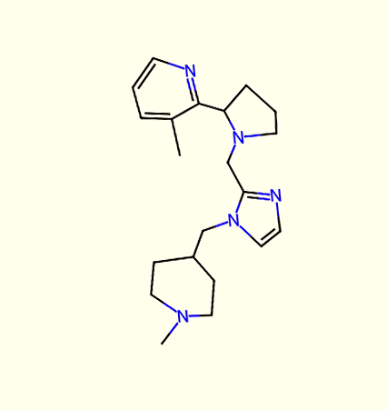 Cc1cccnc1C1CCCN1Cc1nccn1CC1CCN(C)CC1